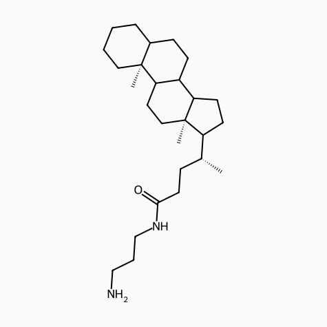 C[C@H](CCC(=O)NCCCN)C1CCC2C3CCC4CCCC[C@]4(C)C3CC[C@@]21C